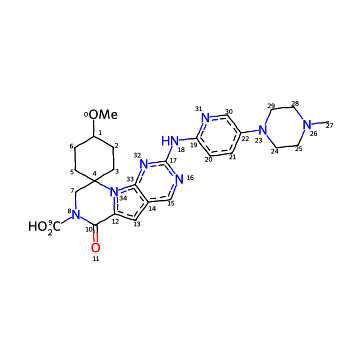 COC1CCC2(CC1)CN(C(=O)O)C(=O)c1cc3cnc(Nc4ccc(N5CCN(C)CC5)cn4)nc3n12